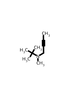 CC#CCN(C)C(C)(C)C